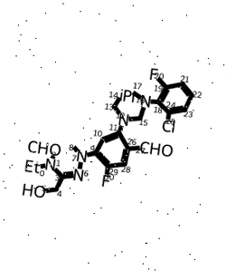 CCN(C=O)/C(CO)=N\N(C)c1cc(N(CC(C)C)CN(C)c2c(F)cccc2Cl)c(C=O)cc1F